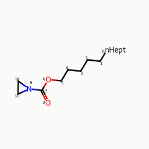 CCCCCCCCCCCCOC(=O)N1CC1